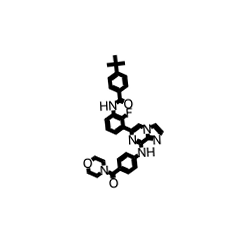 CC(C)(C)c1ccc(C(=O)Nc2cccc(-c3cn4ccnc4c(Nc4ccc(C(=O)N5CCOCC5)cc4)n3)c2F)cc1